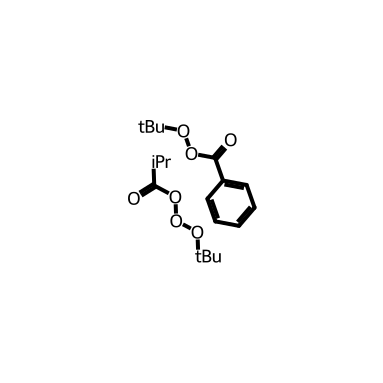 CC(C)(C)OOC(=O)c1ccccc1.CC(C)C(=O)OOOC(C)(C)C